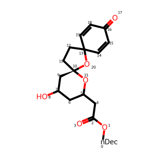 CCCCCCCCCCOC(=O)CC1CC(O)C[C@]2(CCC3(C=CC(=O)C=C3)O2)O1